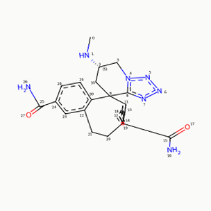 CN[C@@H]1Cn2nnnc2C2(C1)c1ccc(C(N)=O)cc1CCc1cc(C(N)=O)ccc12